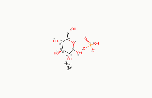 O=P([O-])([O-])O.OC[C@H]1OC(O)[C@H](O)[C@@H](O)[C@@H]1O.[Na+].[Na+]